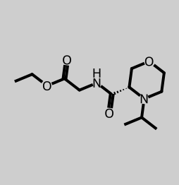 CCOC(=O)CNC(=O)[C@@H]1COCCN1C(C)C